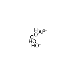 [Al+3].[C].[OH-].[OH-].[OH-]